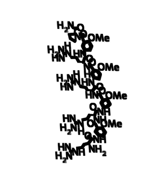 COc1ccc(NC(=O)[C@H](CCCNC(=N)N)NC(=O)c2cc(NC(=O)[C@@H](N)CCCNC(=N)N)ccc2OC)cc1C(=O)N[C@@H](CCCNC(=N)N)C(=O)Nc1ccc(OC)c(C(=O)N[C@@H](CCCNC(=N)N)C(=O)Nc2ccc(OC)c(C(=O)N3CCC[C@H]3C(N)=O)c2)c1